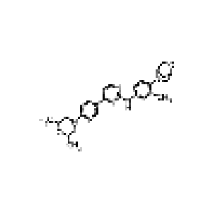 Cc1cc(Nc2nccc(-c3ccc(N4CC(C)OC(C)C4)nc3)n2)ccc1N1CC2CC1CO2